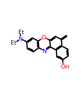 C=c1cc2c(c3cc(O)ccc13)=Nc1ccc(N(CC)CC)cc1O2